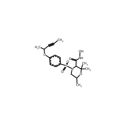 CC#CC(C)Oc1ccc(S(=O)(=O)N2CC(C)OC(C)(C)C2C(=O)NO)cc1